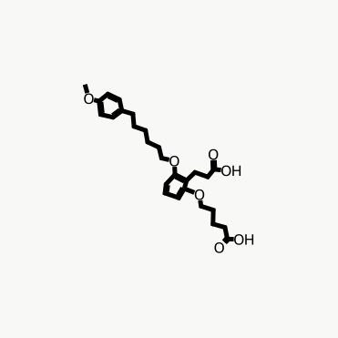 COc1ccc(CCCCCCOc2cccc(OCCCCC(=O)O)c2CCC(=O)O)cc1